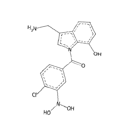 NCc1cn(C(=O)c2ccc(Cl)c(N(O)O)c2)c2c(O)cccc12